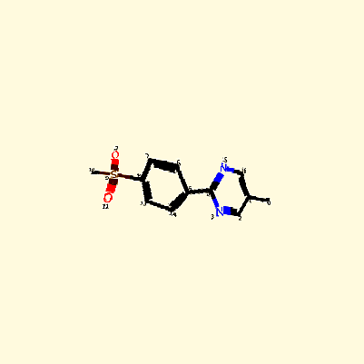 Cc1cnc(-c2ccc(S(C)(=O)=O)cc2)nc1